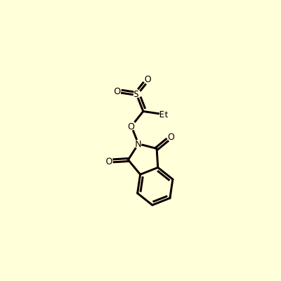 CCC(ON1C(=O)c2ccccc2C1=O)=S(=O)=O